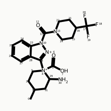 CC1CC[N+](C(=O)O)(c2nn(C(=O)N3CCC(C(F)(F)F)CC3)c3ccccc23)C(N)C1